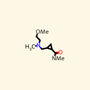 CNC(=O)C1CC1CN(C)CCOC